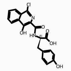 O=C(N[C@H](Cc1ccc(O)cc1)C(=O)O)c1nc(Cl)c2ccccc2c1O